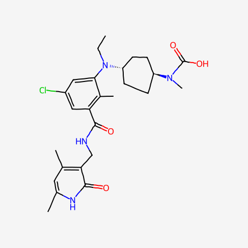 CCN(c1cc(Cl)cc(C(=O)NCc2c(C)cc(C)[nH]c2=O)c1C)[C@H]1CC[C@H](N(C)C(=O)O)CC1